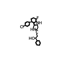 OC(CCCC1Cc2[nH]c3c(F)ccc(-c4ccc(Cl)cc4)c3c2CN1)c1ccccc1